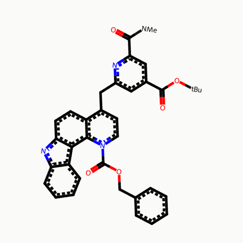 CNC(=O)c1cc(C(=O)OC(C)(C)C)cc(Cc2ccn(C(=O)OCc3ccccc3)c3c2ccc2nc4ccccc4c23)n1